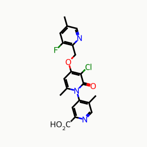 Cc1cnc(COc2cc(C)n(-c3cc(C(=O)O)ncc3C)c(=O)c2Cl)c(F)c1